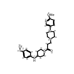 COc1ccc(N2CCN(CCC(=O)N3CCC(Nc4ccc(SC(F)(F)F)cc4)CC3)CC2)cn1